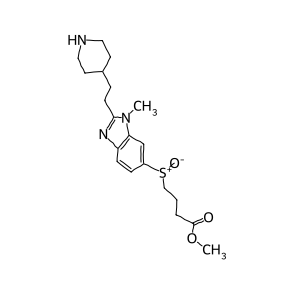 COC(=O)CCC[S+]([O-])c1ccc2nc(CCC3CCNCC3)n(C)c2c1